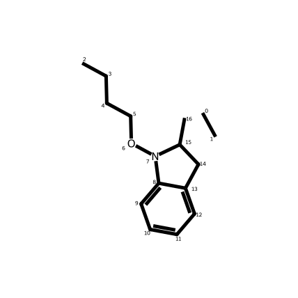 CC.CCCCON1c2ccccc2CC1C